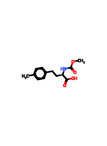 COC(=O)N[C@H](CCc1ccc(C)cc1)C(=O)O